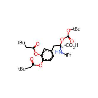 CC(C)N[C@@](Cc1ccc(OC(=O)CC(C)(C)C)c(OC(=O)CC(C)(C)C)c1)(OC(=O)OC(C)(C)C)C(=O)O